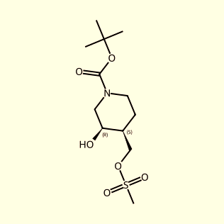 CC(C)(C)OC(=O)N1CC[C@@H](COS(C)(=O)=O)[C@@H](O)C1